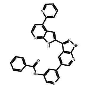 O=C(Nc1cncc(-c2cnc3[nH]nc(-c4cc5c(-c6ccccn6)ccnc5[nH]4)c3c2)c1)c1ccccc1